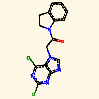 O=C(Cn1cnc2nc(Cl)nc(Cl)c21)N1CCc2ccccc21